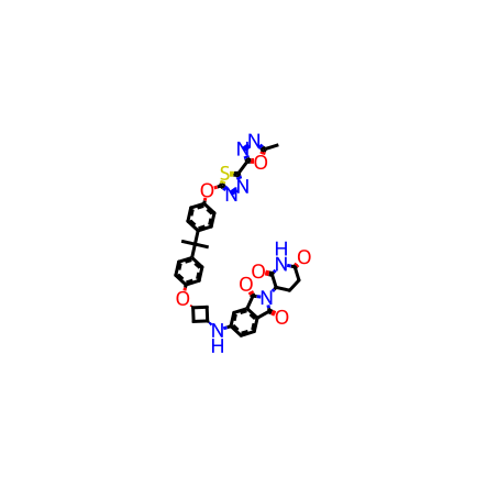 Cc1nnc(-c2nnc(Oc3ccc(C(C)(C)c4ccc(O[C@H]5C[C@H](Nc6ccc7c(c6)C(=O)N(C6CCC(=O)NC6=O)C7=O)C5)cc4)cc3)s2)o1